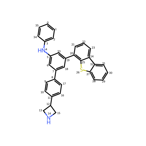 c1ccc(Nc2cc(-c3ccc(C4CNC4)cc3)cc(-c3cccc4c3sc3ccccc34)c2)cc1